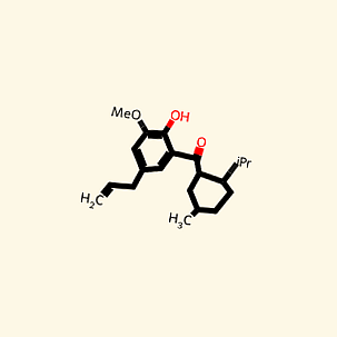 C=CCc1cc(OC)c(O)c(C(=O)C2CC(C)CCC2C(C)C)c1